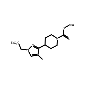 CCOC(=O)Cn1cc(I)c(C2CCN(C(=O)OC(C)(C)C)CC2)n1